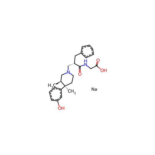 C[C@H]1CN(C[C@H](Cc2ccccc2)C(=O)NCC(=O)O)CC[C@@]1(C)c1cccc(O)c1.[Na]